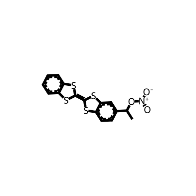 CC(O[N+](=O)[O-])c1ccc2c(c1)SC(=C1Sc3ccccc3S1)S2